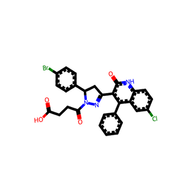 O=C(O)CCC(=O)N1N=C(c2c(-c3ccccc3)c3cc(Cl)ccc3[nH]c2=O)CC1c1ccc(Br)cc1